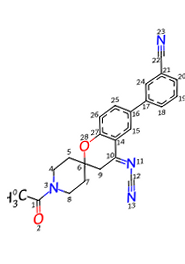 CC(=O)N1CCC2(CC1)CC(=NC#N)c1cc(-c3cccc(C#N)c3)ccc1O2